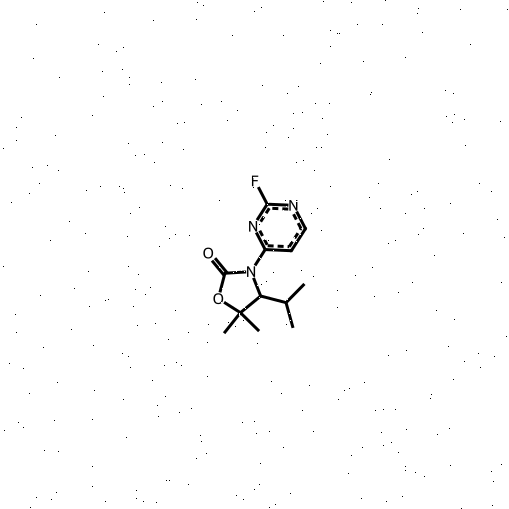 CC(C)C1N(c2ccnc(F)n2)C(=O)OC1(C)C